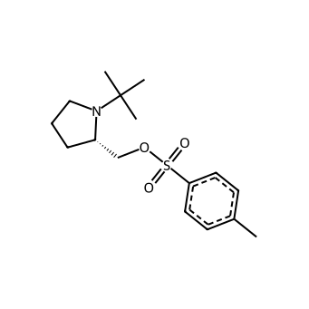 Cc1ccc(S(=O)(=O)OC[C@@H]2CCCN2C(C)(C)C)cc1